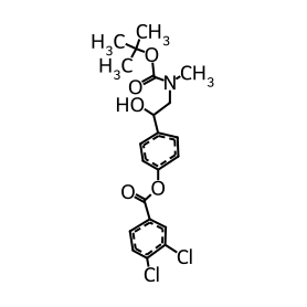 CN(CC(O)c1ccc(OC(=O)c2ccc(Cl)c(Cl)c2)cc1)C(=O)OC(C)(C)C